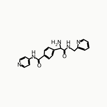 NC(C(=O)NCc1ccccn1)c1ccc(C(=O)Nc2ccncc2)cc1